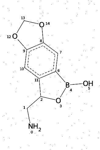 NCC1OB(O)c2cc3c(cc21)OCO3